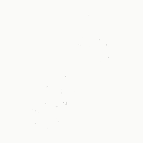 CC(C)(C)OC(=O)Nc1cnccc1C#CCOC(=O)Nc1cnccc1I